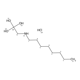 CCCCCCCCNCC(O)(O)O.Cl